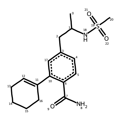 CC(Cc1ccc(C(N)=O)c(C2=CCCCC2)c1)NS(C)(=O)=O